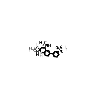 CNC1=CC(NC)(NC)Nc2ccc(-c3cccc(S(C)(=O)=O)c3)cc21